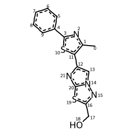 Cc1nc(-c2ccccc2)sc1-c1cn2nc(CO)sc2n1